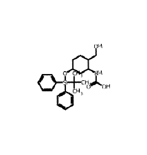 CC(C)(C)[Si](OC1CCC(CO)C(NC(=O)O)C1)(c1ccccc1)c1ccccc1